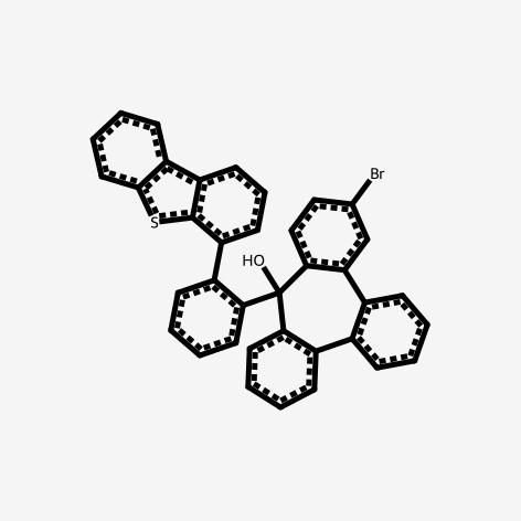 OC1(c2ccccc2-c2cccc3c2sc2ccccc23)c2ccccc2-c2ccccc2-c2cc(Br)ccc21